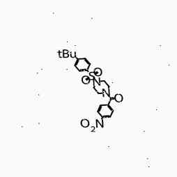 CC(C)(C)c1ccc(S(=O)(=O)N2CCN(C(=O)c3ccc([N+](=O)[O-])cc3)CC2)cc1